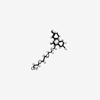 Cc1ccc2c(c1)c(C)c(COCCOCCOCCO)c1cc(C)ccc12